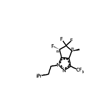 CC(C)CCn1nc(C(F)(F)F)c2c1[C@H](F)C(F)(F)[C@H]2C